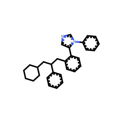 [c]1ccc(CC(CC2CCCCC2)c2ccccc2)c(-c2cncn2-c2ccccc2)c1